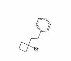 BrC1(CCc2ccccc2)CCC1